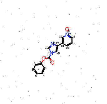 O=C(Oc1ccccc1)n1cnc(-c2ccc[n+]([O-])c2)c1